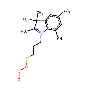 CC1=[N+](CCCSOO[O-])c2c(C)cc(S(=O)(=O)O)cc2C1(C)C